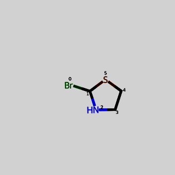 BrC1NCCS1